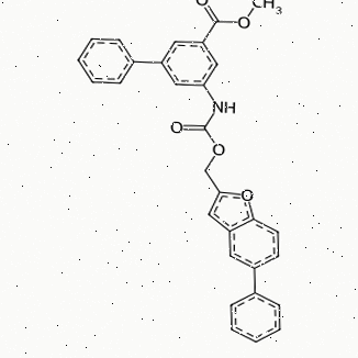 COC(=O)c1cc(NC(=O)OCc2cc3cc(-c4ccccc4)ccc3o2)cc(-c2ccccc2)c1